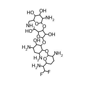 NCC1OC(OC2C(CO)OC(OC3C(O)C(N)CC(N)C3OC3OC(C(N)C(F)F)CCC3N)C2O)C(N)C(O)C1O